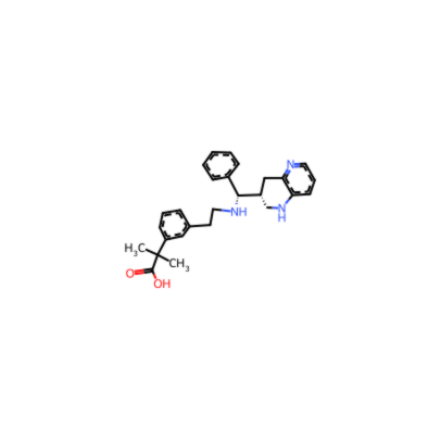 CC(C)(C(=O)O)c1cccc(CCN[C@H](c2ccccc2)[C@H]2CNc3cccnc3C2)c1